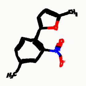 Cc1ccc(-c2ccc(C)o2)c([N+](=O)[O-])c1